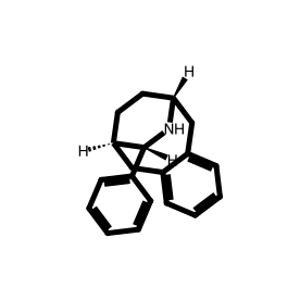 c1ccc([C@H]2N[C@@H]3CC[C@@H]2Cc2ccccc2C3)cc1